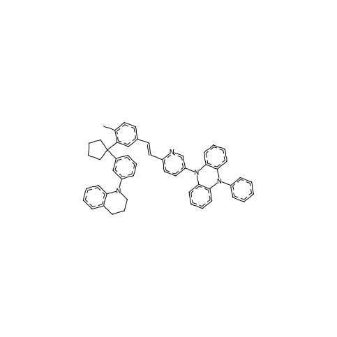 Cc1ccc(/C=C/c2ccc(N3c4ccccc4N(c4ccccc4)c4ccccc43)cn2)cc1C1(c2cccc(N3CCCc4ccccc43)c2)CCCC1